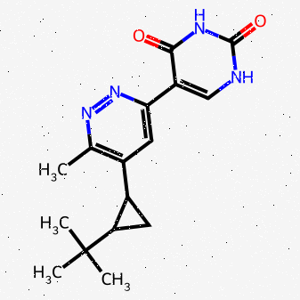 Cc1nnc(-c2c[nH]c(=O)[nH]c2=O)cc1C1CC1C(C)(C)C